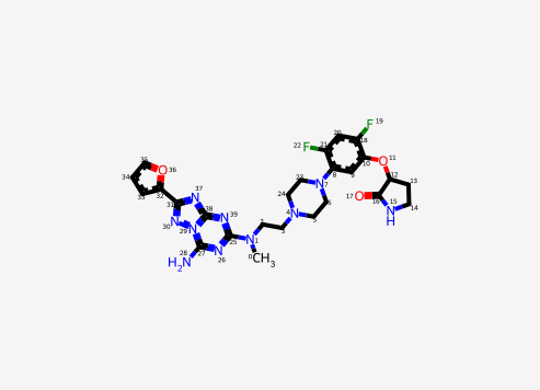 CN(CCN1CCN(c2cc(OC3CCNC3=O)c(F)cc2F)CC1)c1nc(N)n2nc(-c3ccco3)nc2n1